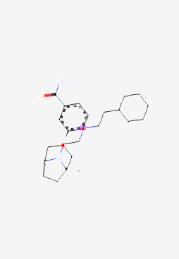 NC(=O)c1cccc([C@H]2C[C@H]3CC[C@@H](C2)N3CCNCCC2CCCCC2)c1